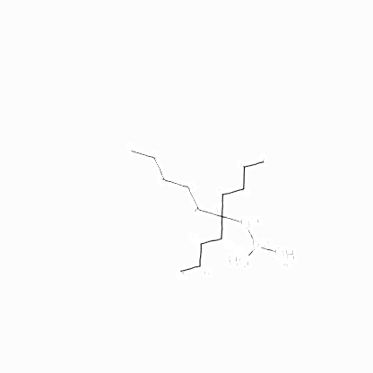 CCCCCC(CCCC)(CCCC)OP(O)O